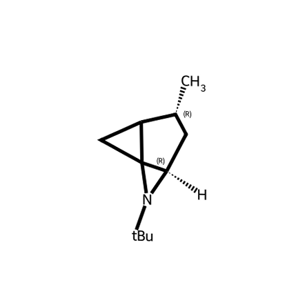 C[C@@H]1C[C@H]2N(C(C)(C)C)C23CC13